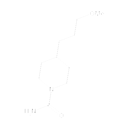 COCCCC1CCN(C(N)=O)CC1